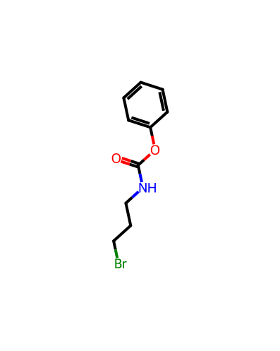 O=C(NCCCBr)Oc1ccccc1